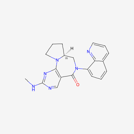 CNc1ncc2c(n1)N1CCC[C@H]1CN(c1cccc3cccnc13)C2=O